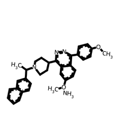 COc1ccc(-c2nnc(C3CCN(C(C)c4ccc5ccccc5c4)CC3)c3cc(OC)ccc23)cc1.N